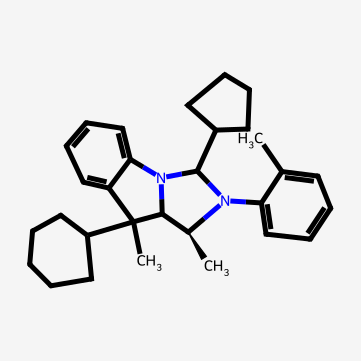 Cc1ccccc1N1C(C2CCCC2)N2c3ccccc3C(C)(C3CCCCC3)C2[C@@H]1C